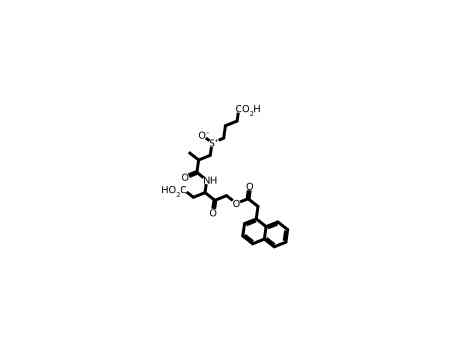 CC(C[S+]([O-])CCCC(=O)O)C(=O)NC(CC(=O)O)C(=O)COC(=O)Cc1cccc2ccccc12